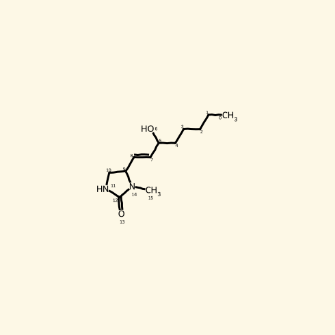 CCCCCC(O)C=CC1CNC(=O)N1C